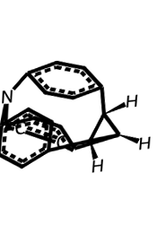 c1cc2ccc1N1c3ccc(cc3)[C@H]3[C@@H]2[C@H]3c2ccc1cc2